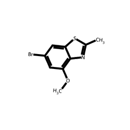 COc1cc(Br)cc2sc(C)nc12